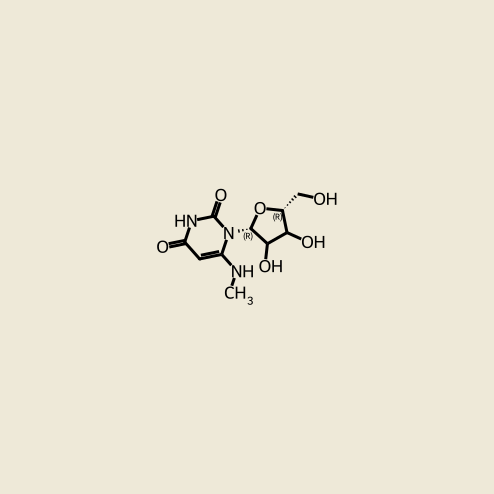 CNc1cc(=O)[nH]c(=O)n1[C@@H]1O[C@H](CO)C(O)C1O